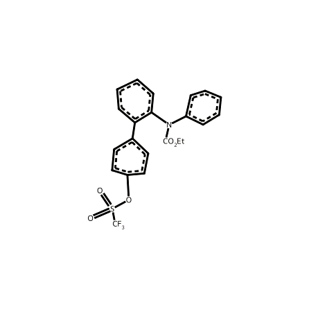 CCOC(=O)N(c1ccccc1)c1ccccc1-c1ccc(OS(=O)(=O)C(F)(F)F)cc1